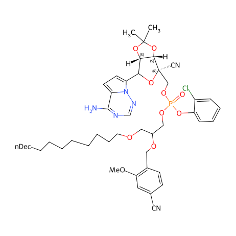 CCCCCCCCCCCCCCCCCCOCC(COP(=O)(OC[C@@]1(C#N)OC(c2ccc3c(N)ncnn23)[C@@H]2OC(C)(C)O[C@@H]21)Oc1ccccc1Cl)OCc1ccc(C#N)cc1OC